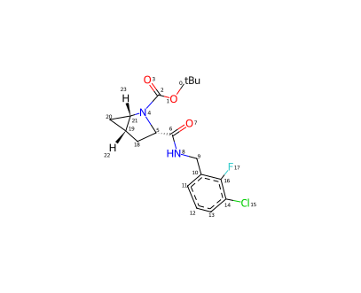 CC(C)(C)OC(=O)N1[C@H](C(=O)NCc2cccc(Cl)c2F)C[C@@H]2C[C@@H]21